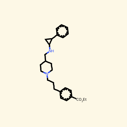 CCOC(=O)c1ccc(CCCN2CCC(CNC3CC3c3ccccc3)CC2)cc1